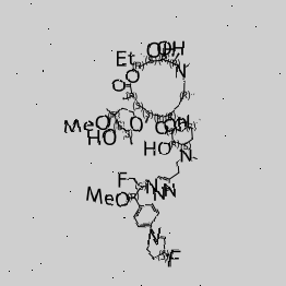 CC[C@H]1OC(=O)[C@H](C)[C@@H](C2C[C@@](C)(OC)[C@@H](O)[C@H](C)O2)[C@H](C)[C@@H](O[C@@H]2O[C@H](C)C[C@H](N(C)CCc3cn([C@H](CF)[C@H](OC)c4ccc(N5CC[C@H](F)C5)cc4)nn3)[C@H]2O)[C@](C)(O)C[C@@H](C)CN(C)[C@H](C)[C@@H](O)[C@]1(C)O